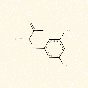 COc1cc(NC(C(=O)Cl)C(C)C)cc(OC)c1